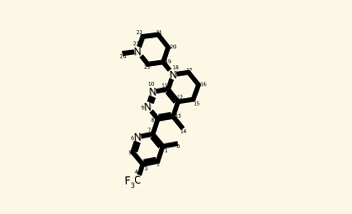 Cc1cc(C(F)(F)F)cnc1-c1nnc2c(c1C)CCCN2C1CCCN(C)C1